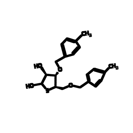 Cc1ccc(COC[C@H]2SC(O)[C@@H](O)[C@@H]2OCc2ccc(C)cc2)cc1